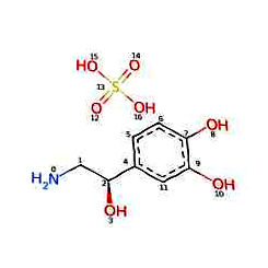 NC[C@H](O)c1ccc(O)c(O)c1.O=S(=O)(O)O